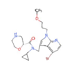 COCCCn1cc(CN(C(=O)[C@H]2CNCCO2)C2CC2)c2c(Br)ccnc21